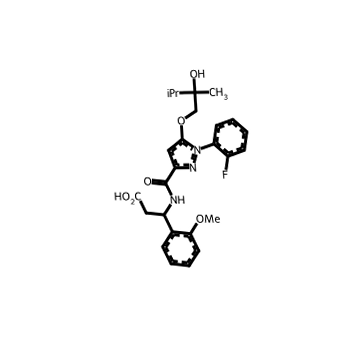 COc1ccccc1C(CC(=O)O)NC(=O)c1cc(OCC(C)(O)C(C)C)n(-c2ccccc2F)n1